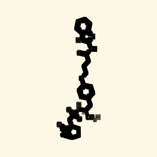 CC1(C)C2CCC1(CS(=O)(=O)N[C@@H](Cc1ccc(OCCCC(=O)Nc3nc4ccccc4[nH]3)cc1)C(=O)O)C(=O)C2